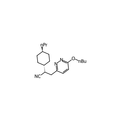 CCCCOc1ccc(CC(C#N)[C@H]2CC[C@H](CCC)CC2)nn1